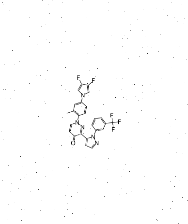 Cc1cc(-n2cc(F)c(F)c2)ccc1-n1ccc(=O)c(-c2ccnn2-c2cccc(C(F)(F)F)c2)n1